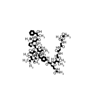 CC[C@H](C)[C@@H]([C@@H](CC(=O)N1CCC[C@H]1[C@H](OC)[C@@H](C)C(=O)N[C@H](C)[C@@H](O)c1ccccc1)OC)N(C)C(=O)[C@@H](NC(=O)[C@H](C(C)C)N(C)C(=O)OC(C(=O)O)c1ccc(NC(=O)[C@H](CCCNC(N)=O)NC(=O)[C@@H](NC(=O)CNC(=O)CNC(=O)CNC(=O)OC(C)(C)C)C(C)C)cc1)C(C)C